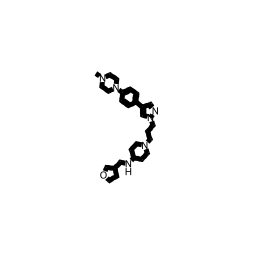 CN1CCN(c2ccc(-c3cnn(CCCN4CCC(NCC5CCOC5)CC4)c3)cc2)CC1